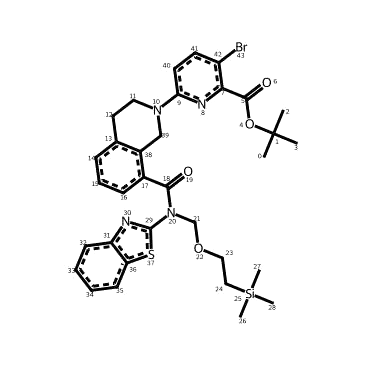 CC(C)(C)OC(=O)c1nc(N2CCc3cccc(C(=O)N(COCC[Si](C)(C)C)c4nc5ccccc5s4)c3C2)ccc1Br